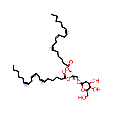 CCCCC/C=C\C/C=C\C/C=C\CCCCC(=O)OC[C@H](CO[C@H]1CC(O)[C@@H](O)[C@@H](CO)O1)OC(=O)CCCC/C=C\C/C=C\C/C=C\CCCCC